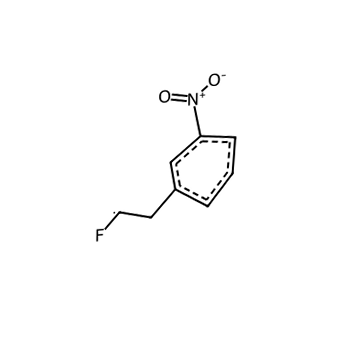 O=[N+]([O-])c1cccc(C[CH]F)c1